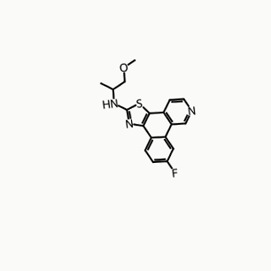 COCC(C)Nc1nc2c3ccc(F)cc3c3cnccc3c2s1